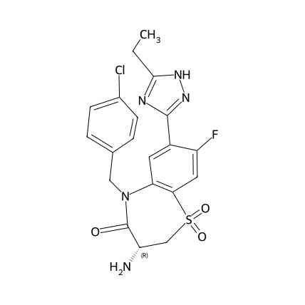 CCc1nc(-c2cc3c(cc2F)S(=O)(=O)C[C@H](N)C(=O)N3Cc2ccc(Cl)cc2)n[nH]1